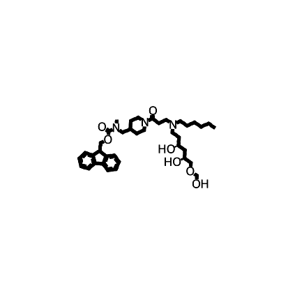 CCCCCCN(CCC(=O)N1CCC(CN(C)C(=O)OCC2c3ccccc3-c3ccccc32)CC1)CC[C@@H](O)C[C@H](O)COCO